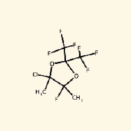 CC1(F)OC(C(F)(F)F)(C(F)(F)F)OC1(C)Cl